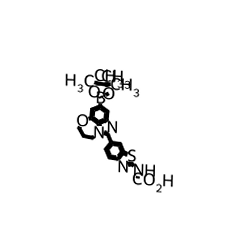 CC1(C)OB(c2cc3c4c(c2)nc(-c2ccc5nc(NC(=O)O)sc5c2)n4CCCO3)OC1(C)C